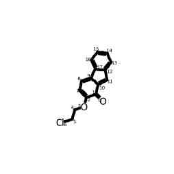 O=C1C(OCCCl)=CC=C2C1=Cc1ccccc12